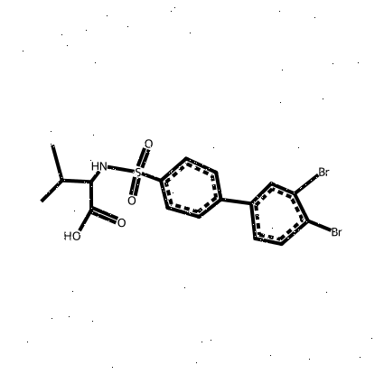 CC(C)C(NS(=O)(=O)c1ccc(-c2ccc(Br)c(Br)c2)cc1)C(=O)O